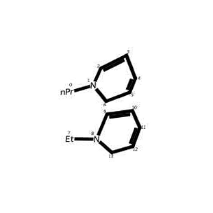 CCCN1C=CC=CC1.CCN1C=CC=CC1